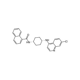 O=C(N[C@H]1CC[C@@H](Nc2ccnc3cc(Cl)ccc23)CC1)c1cccc2ccccc12